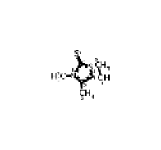 CO.Cc1csc(=S)n1C